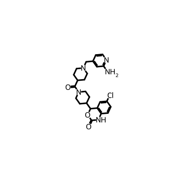 Nc1cc(CN2CCC(C(=O)N3CCC(C4OC(=O)Nc5ccc(Cl)cc54)CC3)CC2)ccn1